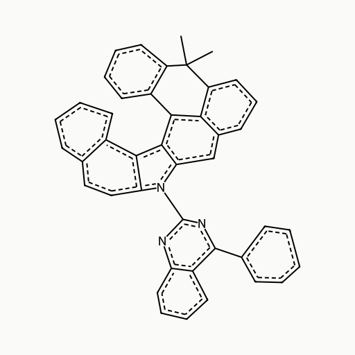 CC1(C)c2ccccc2-c2c3c1cccc3cc1c2c2c3ccccc3ccc2n1-c1nc(-c2ccccc2)c2ccccc2n1